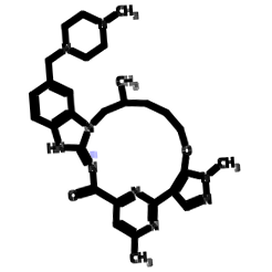 Cc1cc2nc(n1)-c1cnn(C)c1OCCCC(C)CN1/C(=N/C2=O)Nc2ccc(CN3CCN(C)CC3)cc21